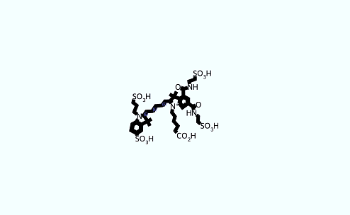 CC1(C)C(/C=C/C=C/C=C2/N(CCCS(=O)(=O)O)c3ccc(S(=O)(=O)O)cc3C2(C)C)=[N+](CCCCCC(=O)O)c2cc(C(=O)NCCS(=O)(=O)O)cc(C(=O)NCCS(=O)(=O)O)c21